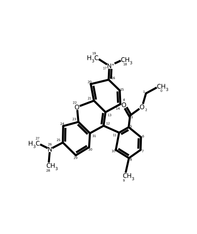 CCOC(=O)c1ccc(C)cc1-c1c2ccc(=[N+](C)C)cc-2oc2cc(N(C)C)ccc12